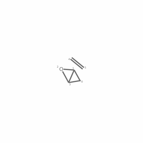 C1C2OC12.C=C